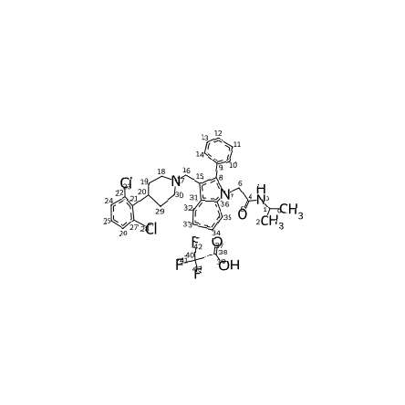 CC(C)NC(=O)Cn1c(-c2ccccc2)c(CN2CCC(c3c(Cl)cccc3Cl)CC2)c2ccccc21.O=C(O)C(F)(F)F